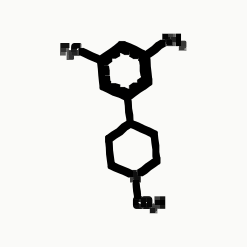 Nc1cc(C2CCN(C(=O)O)CC2)cc(C(F)(F)F)c1